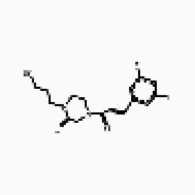 O=C(/C=C/c1cc(F)cc(F)c1)N1CCN(CCCBr)C(=O)C1